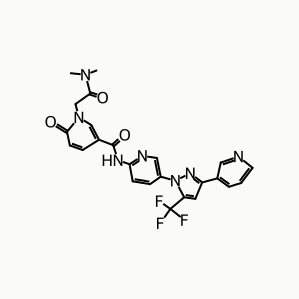 CN(C)C(=O)Cn1cc(C(=O)Nc2ccc(-n3nc(-c4cccnc4)cc3C(F)(F)F)cn2)ccc1=O